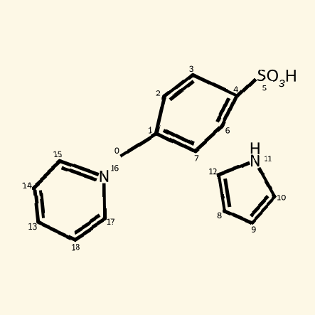 Cc1ccc(S(=O)(=O)O)cc1.c1cc[nH]c1.c1ccncc1